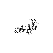 Cc1cc(C2=C3C(=O)c4c(NC(=O)NN5CCOCC5)cccc4C3N=N2)c(C)s1